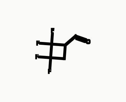 O=[C]C1CC(F)(F)C1(F)F